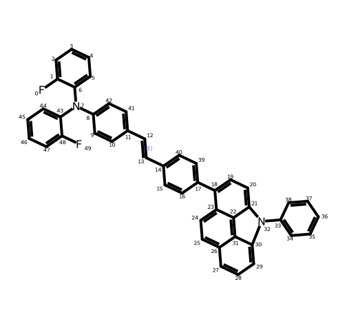 Fc1ccccc1N(c1ccc(/C=C/c2ccc(-c3ccc4c5c3ccc3cccc(c35)n4-c3ccccc3)cc2)cc1)c1ccccc1F